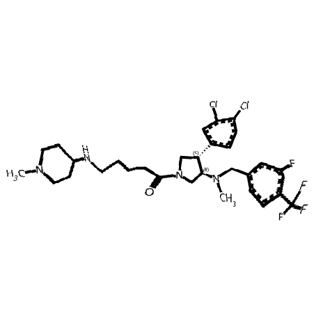 CN1CCC(NCCCCC(=O)N2C[C@H](c3ccc(Cl)c(Cl)c3)[C@@H](N(C)Cc3ccc(C(F)(F)F)c(F)c3)C2)CC1